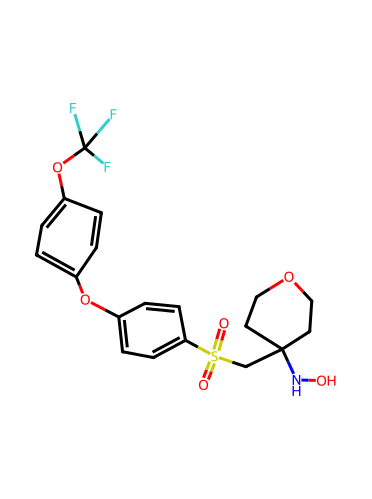 O=S(=O)(CC1(NO)CCOCC1)c1ccc(Oc2ccc(OC(F)(F)F)cc2)cc1